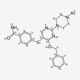 CC(=O)N1CCN(c2ncc(Sc3ccc(C(N)=O)cc3)c(OCc3ccccc3)n2)CC1